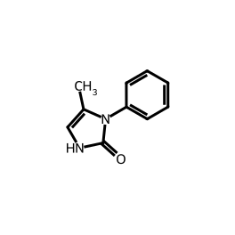 Cc1c[nH]c(=O)n1-c1ccccc1